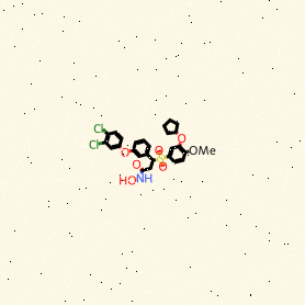 COc1ccc(S(=O)(=O)C(CC(=O)NO)c2cccc(Oc3ccc(Cl)c(Cl)c3)c2)cc1OC1CCCC1